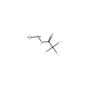 NNOC(=O)C(F)(F)F